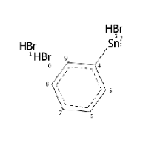 Br.Br.Br.[Sn][c]1ccccc1